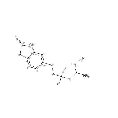 CC(C)NC(N)CC(C)(C)CCc1ccc2c(c1)NC(=O)C2